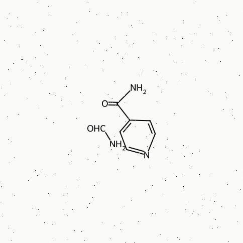 NC(=O)c1ccncc1.NC=O